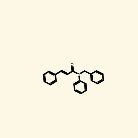 O=C(/C=C/c1ccccc1)N(Cc1ccccc1)c1ccccc1